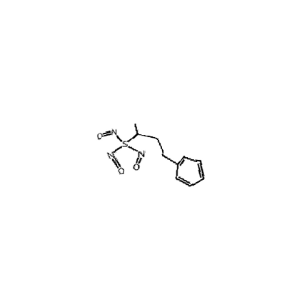 CC(CCc1ccccc1)S(N=O)(N=O)N=O